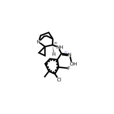 Cc1ccc(/C(=N\O)N[C@@H]2C3CCN(CC3)C23CC3)c(F)c1Cl